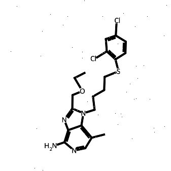 CCOCc1nc2c(N)ncc(C)c2n1CCCCSc1ccc(Cl)cc1Cl